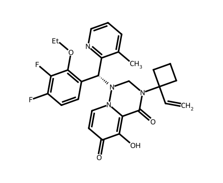 C=CC1(N2CN([C@H](c3ccc(F)c(F)c3OCC)c3ncccc3C)n3ccc(=O)c(O)c3C2=O)CCC1